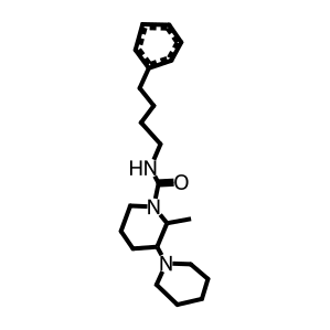 CC1C(N2CCCCC2)CCCN1C(=O)NCCCCc1ccccc1